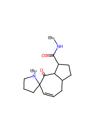 CC(C)(C)NC(=O)C1CCC2CC=CC3(CCCN3C(C)(C)C)C(=O)C21